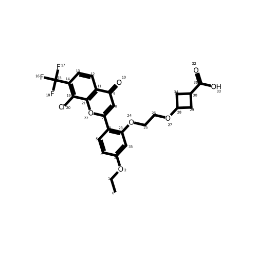 CCOc1ccc(-c2cc(=O)c3ccc(C(F)(F)F)c(Cl)c3o2)c(OCCOC2CC(C(=O)O)C2)c1